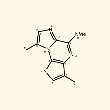 CNc1nc2c(C)csc2n2c(C)cnc12